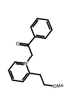 COCCc1cccc[n+]1CC(=O)c1ccccc1